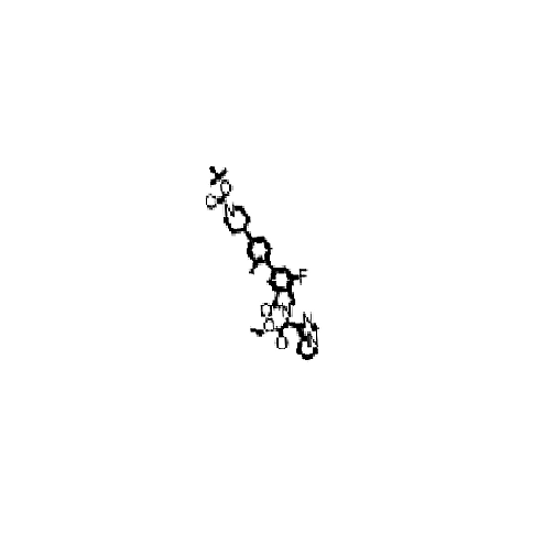 CCOC(=O)C(c1ncn2c1CCC2)N1Cc2c(F)cc(-c3ccc(C4CCN(C(=O)OC(C)(C)C)CC4)cc3C)cc2C1=O